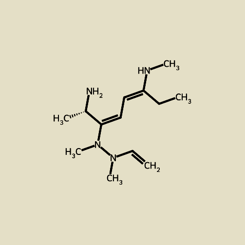 C=CN(C)N(C)/C(=C/C=C(\CC)NC)[C@H](C)N